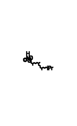 CC(C)CCCC(C)CCCC(C)CCCC(C)CCOC(=O)Nc1ccccc1